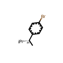 CC(C)[C@@H](C)c1ccc(Br)cc1